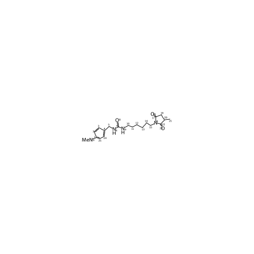 CNc1ccc(CNC(=O)NCCCCCCN2C(=O)CC(C)C2=O)cc1